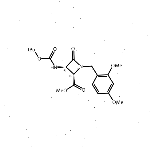 COC(=O)[C@H]1[C@@H](NC(=O)OC(C)(C)C)C(=O)N1Cc1ccc(OC)cc1OC